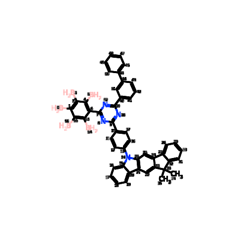 Bc1c(B)c(B)c(-c2nc(-c3ccc(-n4c5ccccc5c5cc6c(cc54)-c4ccccc4C6(C)C)cc3)nc(-c3cccc(-c4ccccc4)c3)n2)c(B)c1B